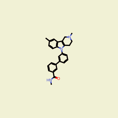 CNC(=O)c1cccc(-c2cccc(-n3c4c(c5cc(C)ccc53)CN(C)CC4)c2)c1